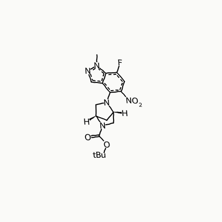 Cn1ncc2c(N3C[C@@H]4C[C@H]3CN4C(=O)OC(C)(C)C)c([N+](=O)[O-])cc(F)c21